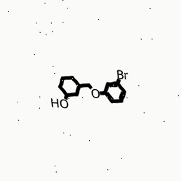 OC1CCCC(COc2cccc(Br)c2)C1